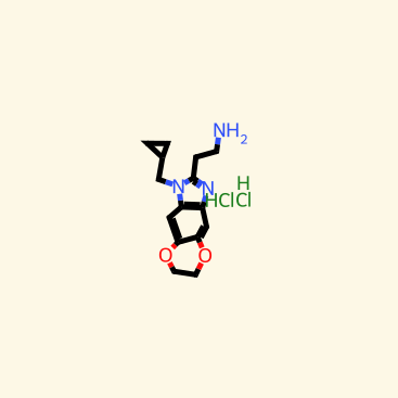 Cl.Cl.NCCc1nc2cc3c(cc2n1CC1CC1)OCCO3